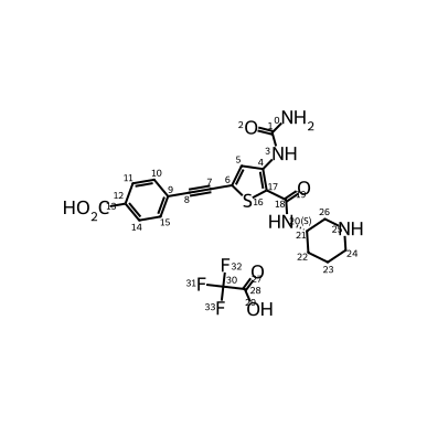 NC(=O)Nc1cc(C#Cc2ccc(C(=O)O)cc2)sc1C(=O)N[C@H]1CCCNC1.O=C(O)C(F)(F)F